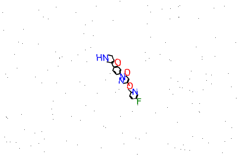 O=c1cc(OCc2ccc(F)cn2)cnn1-c1ccc2c3c(oc2c1)CCNC3